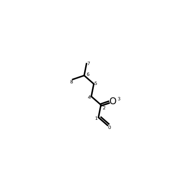 C=CC(=O)CCC(C)C